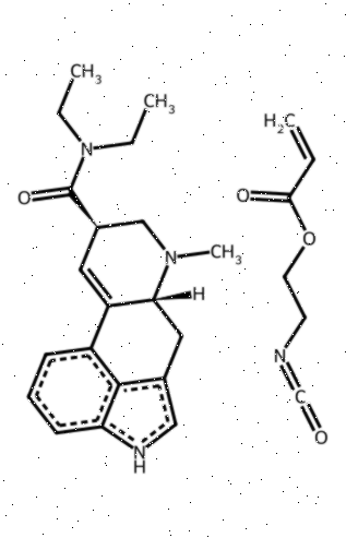 C=CC(=O)OCCN=C=O.CCN(CC)C(=O)[C@@H]1C=C2c3cccc4[nH]cc(c34)C[C@H]2N(C)C1